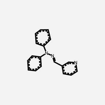 C(=NN(c1ccccc1)c1ccccc1)c1cccnc1